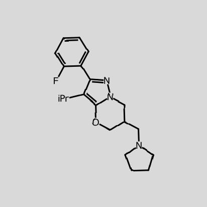 CC(C)c1c(-c2ccccc2F)nn2c1OCC(CN1CCCC1)C2